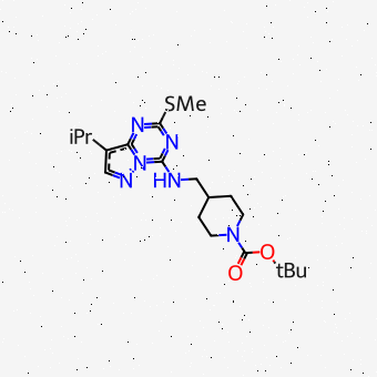 CSc1nc(NCC2CCN(C(=O)OC(C)(C)C)CC2)n2ncc(C(C)C)c2n1